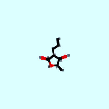 C=CC[C@@H]1C(=O)O[C@H](C)C1=O